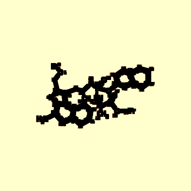 CCOCc1nc2c(N)nc3ccccc3c2n1C[C@@H](C)O[P@](=O)(N[C@@H](C)C(=O)OC(C)C)Oc1ccc2ccccc2c1